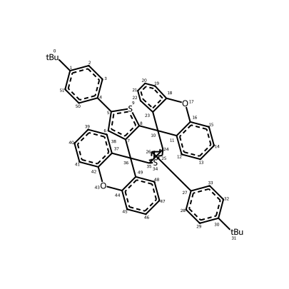 CC(C)(C)c1ccc(-c2cc3c(s2)C2(c4ccccc4Oc4ccccc42)c2cc(-c4ccc(C(C)(C)C)cc4)sc2C32c3ccccc3Oc3ccccc32)cc1